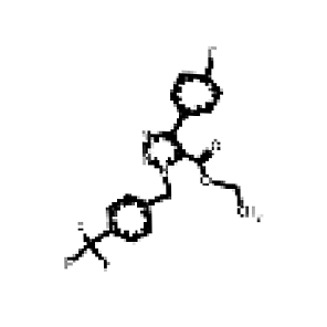 CCOC(=O)c1c(-c2ccc(F)cc2)nnn1Cc1ccc(C(F)(F)F)cc1